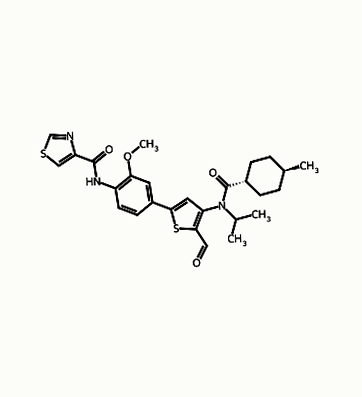 COc1cc(-c2cc(N(C(=O)[C@H]3CC[C@H](C)CC3)C(C)C)c(C=O)s2)ccc1NC(=O)c1cscn1